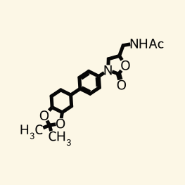 CC(=O)NCC1CN(c2ccc(C3CCC4OC(C)(C)OC4C3)cc2)C(=O)O1